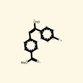 COC(=O)c1ccc(/C=C(/C=O)c2ccc(F)cc2)cc1